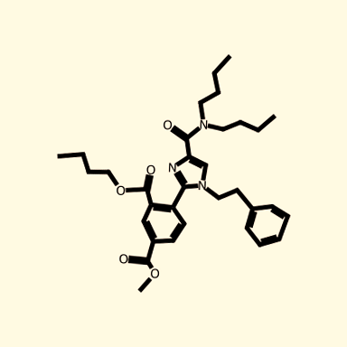 CCCCOC(=O)c1cc(C(=O)OC)ccc1-c1nc(C(=O)N(CCCC)CCCC)cn1CCc1ccccc1